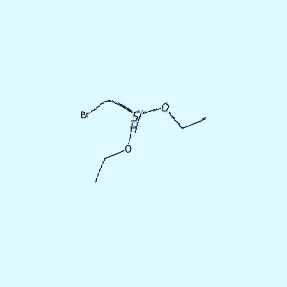 CCO[SiH](CBr)OCC